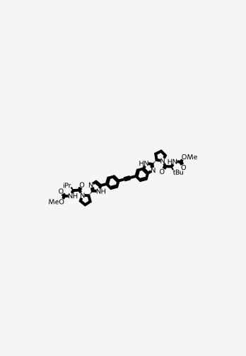 COC(=O)N[C@H](C(=O)N1CCC[C@H]1c1ncc(-c2ccc(C#Cc3ccc4nc([C@@H]5CCCN5C(=O)[C@@H](NC(=O)OC)C(C)(C)C)[nH]c4c3)cc2)[nH]1)C(C)C